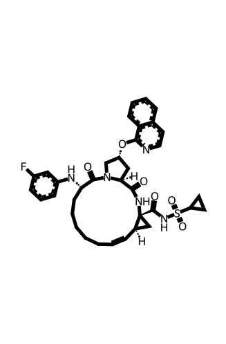 O=C1N[C@]2(C(=O)NS(=O)(=O)C3CC3)C[C@H]2/C=C\CCCCC[C@H](Nc2cccc(F)c2)C(=O)N2C[C@H](Oc3nccc4ccccc34)C[C@@H]12